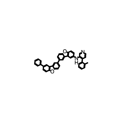 Cc1ccccc1-c1ccncc1Nc1ccc2oc3ccc(-c4ccc5oc6ccc(-c7ccccc7)cc6c5c4)cc3c2c1